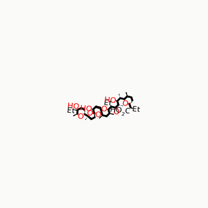 CC[C@@H](C(=O)[C@@H](C)[C@@H](O)[C@H](C)[C@@H]1O[C@@H]([C@@H](CC)C(=O)O)CC[C@@H]1C)[C@H]1O[C@@]2(C=C[C@@H](O)[C@]3(CC[C@@](C)([C@H]4CC[C@](O)(CC)[C@H](C)O4)O3)O2)[C@H](C)C[C@@H]1C